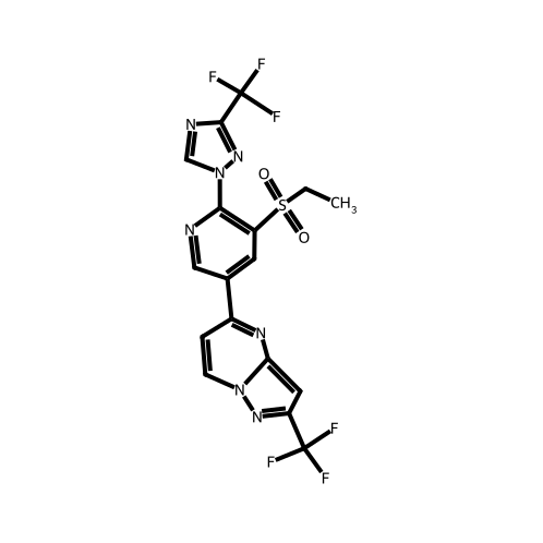 CCS(=O)(=O)c1cc(-c2ccn3nc(C(F)(F)F)cc3n2)cnc1-n1cnc(C(F)(F)F)n1